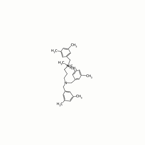 Cc1cc(C)cc(CN(CCC[N+](C)(C)Cc2cc(C)cc(C)c2)Cc2cc(C)cc(C)c2)c1